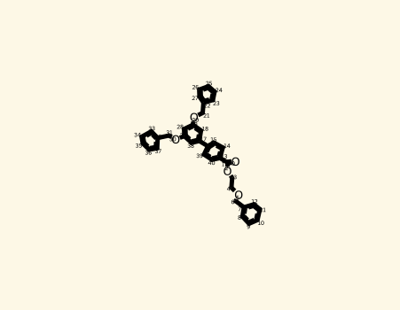 O=C(OCCOCc1ccccc1)c1ccc(-c2cc(OCc3ccccc3)cc(OCc3ccccc3)c2)cc1